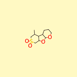 CC1CS(=O)(=O)CC2OC3OCCCC3C12